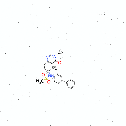 CS(=O)(=O)N[C@H]1CCc2ncn(C3CC3)c(=O)c2[C@H]1Cc1cccc(-c2ccccc2)c1